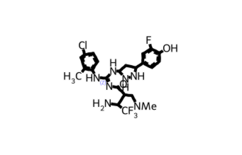 CNCC(C(=O)/N=C(/Nc1ccc(Cl)cc1C)NC1CC(c2ccc(O)c(F)c2)NN1)C(N)C(F)(F)F